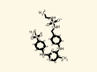 CCNS(=O)(=O)NCc1ccc(Nc2nc(Nc3ccc(S(N)(=O)=O)cc3)ncc2C)cc1